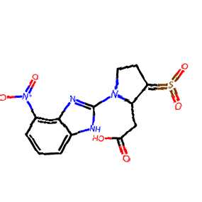 O=C(O)CC1C(=S(=O)=O)CCN1c1nc2c([N+](=O)[O-])cccc2[nH]1